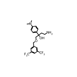 CN(C)c1ccc(C(O)(CCN)COCc2cc(C(F)(F)F)cc(C(F)(F)F)c2)cc1